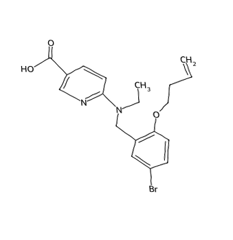 C=CCCOc1ccc(Br)cc1CN(CC)c1ccc(C(=O)O)cn1